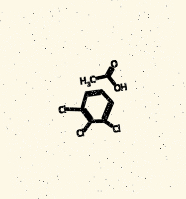 CC(=O)O.Clc1cccc(Cl)c1Cl